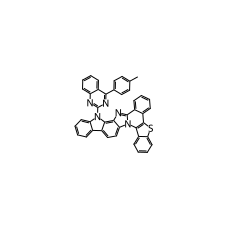 Cc1ccc(-c2nc(-n3c4ccccc4c4ccc5c(nc6c7ccccc7c7sc8ccccc8c7n56)c43)nc3ccccc23)cc1